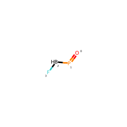 O=PBF